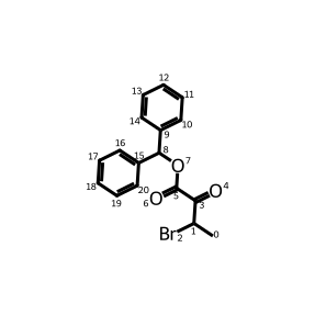 CC(Br)C(=O)C(=O)OC(c1ccccc1)c1ccccc1